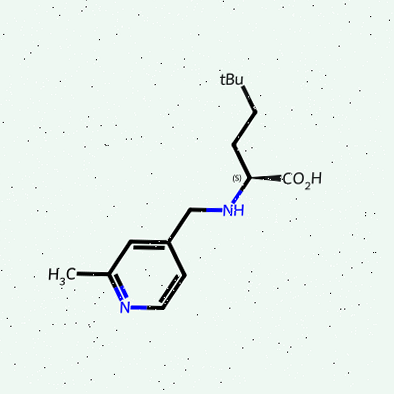 Cc1cc(CN[C@@H](CCC(C)(C)C)C(=O)O)ccn1